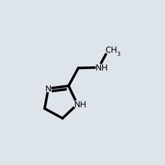 CNCC1=NCCN1